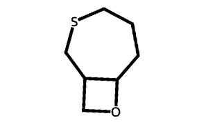 C1CSCC2COC2C1